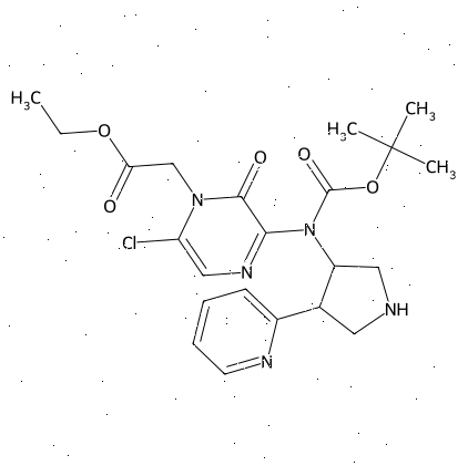 CCOC(=O)Cn1c(Cl)cnc(N(C(=O)OC(C)(C)C)C2CNCC2c2ccccn2)c1=O